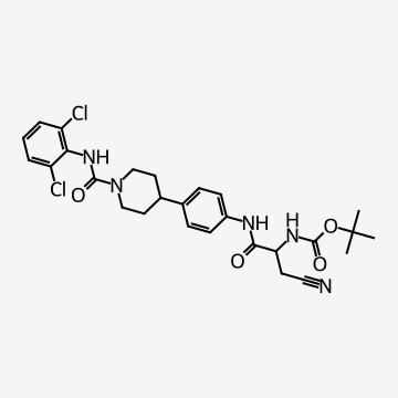 CC(C)(C)OC(=O)NC(CC#N)C(=O)Nc1ccc(C2CCN(C(=O)Nc3c(Cl)cccc3Cl)CC2)cc1